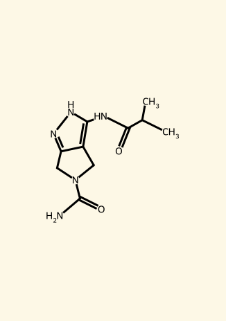 CC(C)C(=O)Nc1[nH]nc2c1CN(C(N)=O)C2